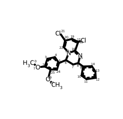 COc1ccc(C2CC(c3ccccc3)N=C3C(Cl)=CC(Cl)=CN32)cc1OC